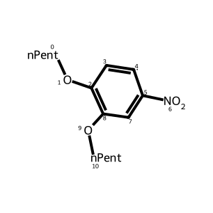 CCCCCOc1c[c]c([N+](=O)[O-])cc1OCCCCC